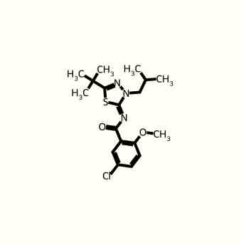 COc1ccc(Cl)cc1C(=O)/N=c1\sc(C(C)(C)C)nn1CC(C)C